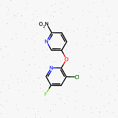 O=[N+]([O-])c1ccc(Oc2ncc(F)cc2Cl)cn1